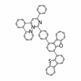 c1ccc(-c2cc(-c3ccccc3-c3ccccn3)nc(-c3ccc(-c4ccc(-c5cccc6c5sc5ccccc56)c5oc6ccccc6c45)cc3)n2)cc1